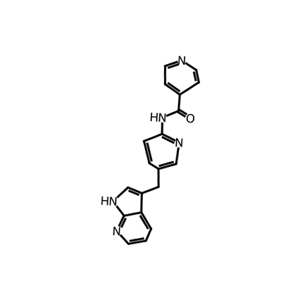 O=C(Nc1ccc(Cc2c[nH]c3ncccc23)cn1)c1ccncc1